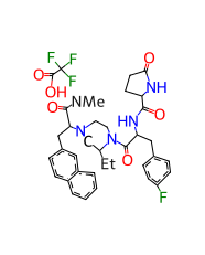 CCC1CN(C(Cc2ccc3ccccc3c2)C(=O)NC)CCN1C(=O)C(Cc1ccc(F)cc1)NC(=O)C1CCC(=O)N1.O=C(O)C(F)(F)F